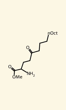 CCCCCCCCCCCC(=O)CCC(N)C(=O)OC